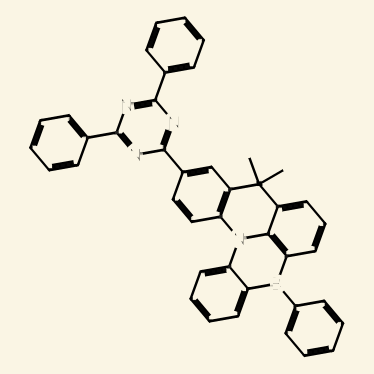 CC1(C)c2cc(-c3nc(-c4ccccc4)nc(-c4ccccc4)n3)ccc2N2c3ccccc3B(c3ccccc3)c3cccc1c32